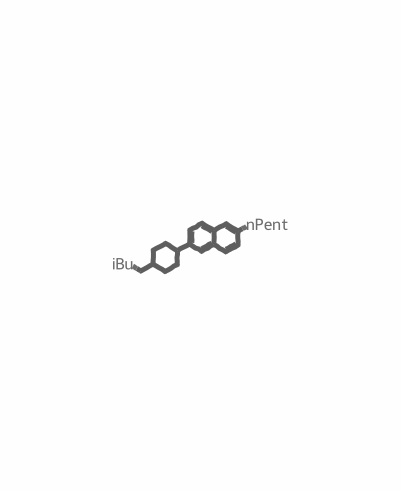 CCCCCc1ccc2cc(C3CCC(CC(C)CC)CC3)ccc2c1